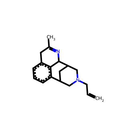 C=CCN1CC2CC(C1)C1N=C(C)Cc3cccc2c31